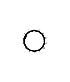 [CH]1CCCCC=CCCCCCCC1